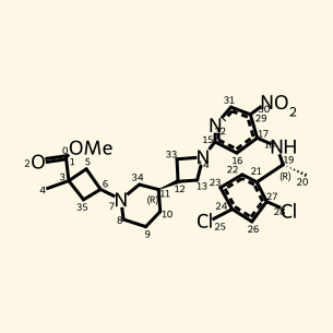 COC(=O)C1(C)CC(N2CCC[C@H](C3CN(c4cc(N[C@H](C)c5ccc(Cl)cc5Cl)c([N+](=O)[O-])cn4)C3)C2)C1